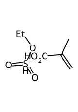 C=C(C)C(=O)O.CCO[SH](=O)=O